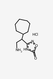 Cl.NCC(c1noc(=O)[nH]1)C1CCCCCC1